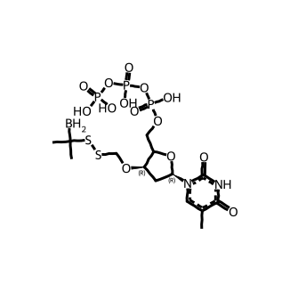 BC(C)(C)SSCO[C@@H]1C[C@H](n2cc(C)c(=O)[nH]c2=O)OC1COP(=O)(O)OP(=O)(O)OP(=O)(O)O